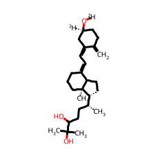 [2H]O[C@@]1([2H])CCC(=C)/C(=C\C=C2CCC[C@@]3(C)C2CC[C@@H]3[C@H](C)CCC(O)C(C)(C)O)C1